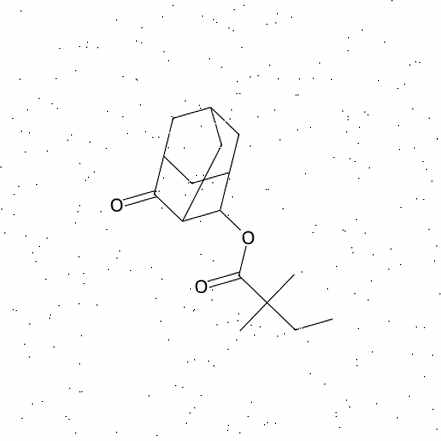 CCC(C)(C)C(=O)OC1C2CC3CC(C2)C(=O)C1C3